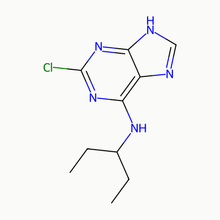 CCC(CC)Nc1nc(Cl)nc2[nH]cnc12